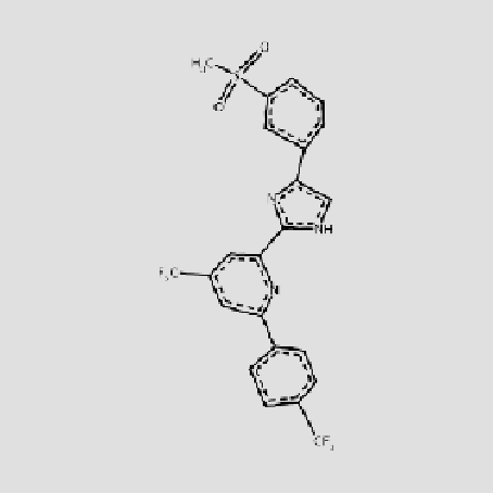 CS(=O)(=O)c1cccc(-c2c[nH]c(-c3cc(C(F)(F)F)cc(-c4ccc(C(F)(F)F)cc4)n3)n2)c1